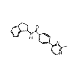 Cc1nccc(-c2ccc(C(=O)NC3CCc4ccccc43)cc2)n1